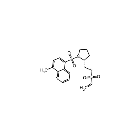 C=CS(=O)(=O)NC[C@H]1CCCN1S(=O)(=O)c1ccc(C)c2ncccc12